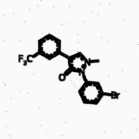 Cn1cc(-c2cccc(C(F)(F)F)c2)c(=O)n1-c1cccc(Br)c1